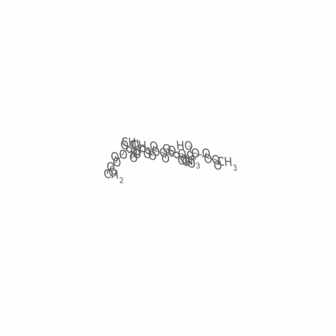 C=CC(=O)OCCOC(=O)CCOCc1cc([N+](=O)[O-])c(C(C)Oc2cc3oc(=O)c(C(=O)OCCOC(=O)c4cc5cc(Cl)c(OC(C)c6cc(CO)c(OCCCC(=O)OCCOC(C)=O)cc6[N+](=O)[O-])cc5oc4=O)cc3cc2Cl)cc1OC